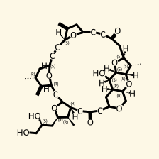 C=C1CC2CCC(=O)C[C@@H]3O[C@H]4[C@@H](O)[C@H]5CC(CC(=O)C[C@H]6C(C[C@H]7O[C@@H](CC[C@@H]1O2)C[C@@H](C)C7=C)O[C@H](C[C@H](O)CO)[C@@H]6C)OC[C@@H]5O[C@H]4[C@H]3C